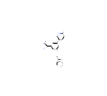 N#Cc1[nH]nnc1-c1cc(OCC2CC3CCC2C3)cc(-c2ccc(C(F)(F)F)nc2)c1